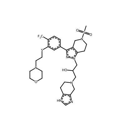 CS(=O)(=O)N1CCc2c(c(-c3ccc(C(F)(F)F)c(SCCN4CCOCC4)c3)nn2CC(O)CN2CCc3[nH]cnc3C2)C1